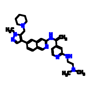 C=C(Nc1cc2cc(-c3cnn(C)c3CN3CCCCC3)ccc2cn1)c1ccnc(NCCN(C)C)c1